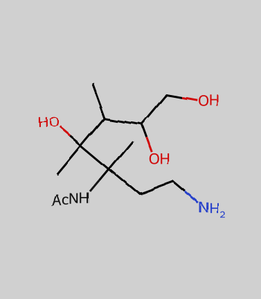 CC(=O)NC(C)(CCN)C(C)(O)C(C)C(O)CO